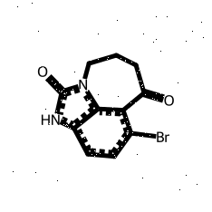 O=C1CCCn2c(=O)[nH]c3ccc(Br)c1c32